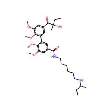 CCC(C)NCCCCCCNC(=O)c1cc(OC)c(OC)c(-c2cc(C(=O)C(C)(O)CC)cc(OC)c2OC)c1